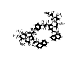 C[C@@H](C(=O)N[C@H](C(=O)N1C[C@@H](NC(=O)Nc2ccc(NC(=O)N[C@H]3C[C@@H](C(=O)N[C@@H]4CCCc5ccccc54)N(C(=O)[C@@H](NC(=O)[C@H](C)N(C)C(=O)OC(C)(C)C)C(C)(C)C)C3)cc2)CC1C(=O)N[C@@H]1CCCc2ccccc21)C(C)(C)C)N(C)C(=O)OC(C)(C)C